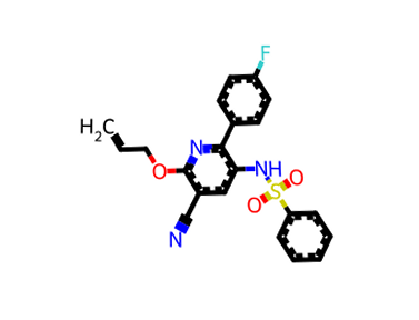 C=CCOc1nc(-c2ccc(F)cc2)c(NS(=O)(=O)c2ccccc2)cc1C#N